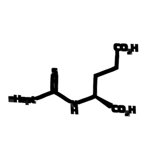 CCCCCCCC(=S)N[C@@H](CCC(=O)O)C(=O)O